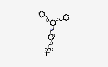 CC(C)(C)OC(=O)COc1ccc(/C=C/c2cc(OCc3ccccc3)cc(OCc3ccccc3)c2)nc1